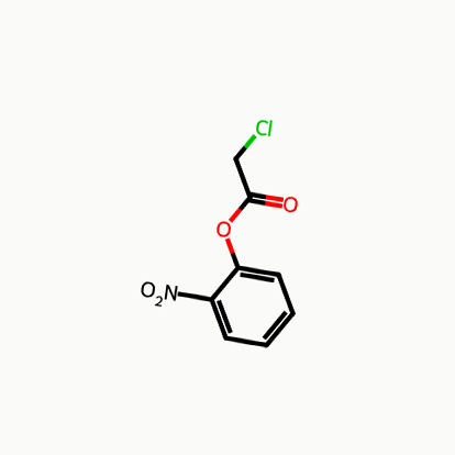 O=C(CCl)Oc1ccccc1[N+](=O)[O-]